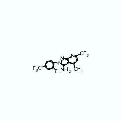 Nc1c2c(C(F)(F)F)cc(C(F)(F)F)nc2nn1-c1ccc(C(F)(F)F)cc1F